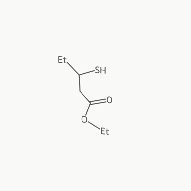 CCOC(=O)CC(S)CC